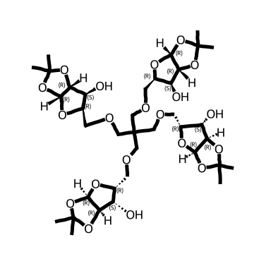 CC1(C)O[C@H]2O[C@H](COCC(COC[C@H]3O[C@@H]4OC(C)(C)O[C@@H]4[C@H]3O)(COC[C@H]3O[C@@H]4OC(C)(C)O[C@@H]4[C@H]3O)COC[C@H]3O[C@@H]4OC(C)(C)O[C@@H]4[C@H]3O)[C@H](O)[C@H]2O1